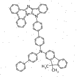 CC1(C)c2ccccc2-c2ccc(N(c3ccc(-c4ccccc4)cc3)c3ccc(-c4ccc(-n5c6ccccc6c6nc7c8ccccc8c8ccccc8n7c65)cc4)cc3)cc21